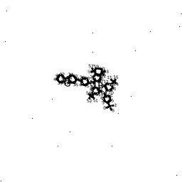 CC(C)(C)c1ccc(N2c3ccc(C(C)(C)C)cc3B3c4cc5c(cc4N(c4ccc(-c6ccc7c(c6)oc6ccccc67)cc4)c4cc(C(C)(C)C)cc2c43)C(C)(C)CCC5(C)C)cc1